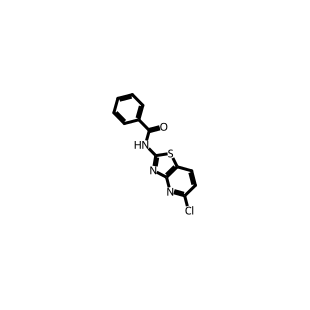 O=C(Nc1nc2nc(Cl)ccc2s1)c1ccccc1